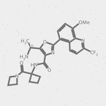 COc1ccc(-c2nc(C(=O)NC3(C(=O)N4CCC4)CCC3)c([C@H](C)N)o2)c2ccc(C(F)(F)F)nc12